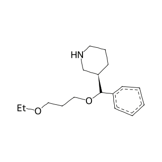 CCOCCCOC(c1ccccc1)[C@@H]1CCCNC1